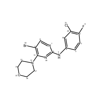 Fc1ccc(Nc2ncc(Br)c(N3CCOCC3)n2)cc1Cl